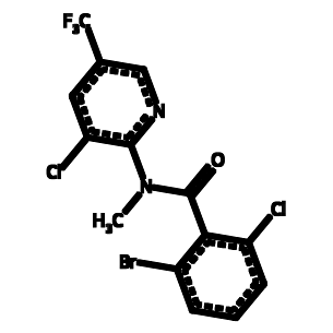 CN(C(=O)c1c(Cl)cccc1Br)c1ncc(C(F)(F)F)cc1Cl